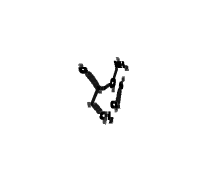 C=CC(=O)ON.[S]=[Cu]